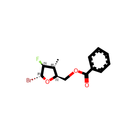 C[C@H]1[C@H](F)[C@@H](Br)O[C@@H]1COC(=O)c1ccccc1